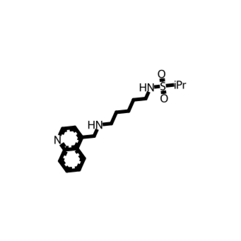 CC(C)S(=O)(=O)NCCCCCNCc1ccnc2ccccc12